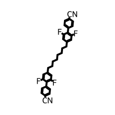 N#Cc1ccc(-c2c(F)cc(CCCCCCCCc3cc(F)c(-c4ccc(C#N)cc4)c(F)c3)cc2F)cc1